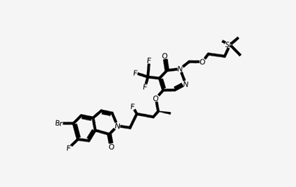 C[C@@H](CC(F)Cn1ccc2cc(Br)c(F)cc2c1=O)Oc1cnn(COCC[Si](C)(C)C)c(=O)c1C(F)(F)F